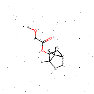 CO[C]C(=O)OC1CC2CCC1(C)C2(C)C